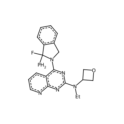 CCN(c1nc(N2Cc3ccccc3C2(F)P)c2cccnc2n1)C1COC1